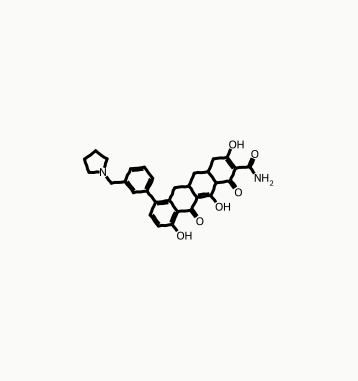 NC(=O)C1=C(O)CC2CC3Cc4c(-c5cccc(CN6CCCC6)c5)ccc(O)c4C(=O)C3=C(O)C2C1=O